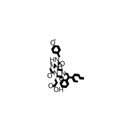 C=C/C=C\C(=C/C)C(CN1C[C@H]2N(C(=O)CN(C)N2C(=O)NCc2ccc(OC)cc2)[C@@H](CCC(=O)O)C1=O)c1ccccc1